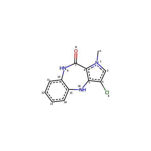 Cn1cc(Cl)c2c1C(=O)Nc1ccccc1N2